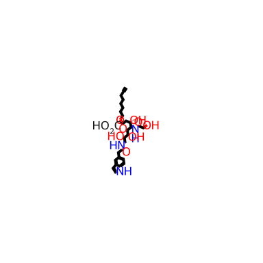 C#CCCCCCCO[C@]1(C(=O)O)C[C@H](O)[C@@H](NC(=O)CO)[C@H]([C@H](O)[C@H](O)CNC(=O)Cc2ccc3[nH]ccc3c2)O1